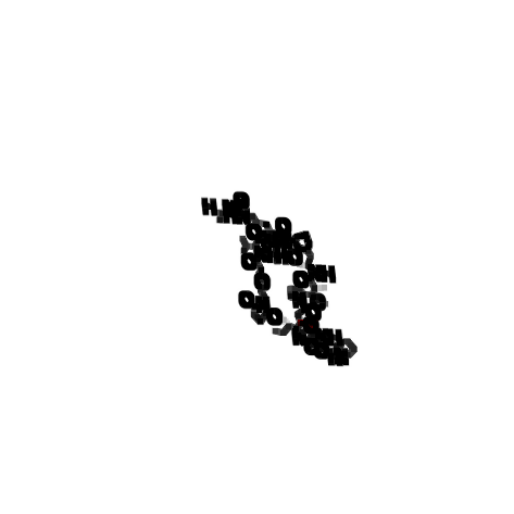 CC[C@H](C)C([C@@H](CC(=O)N1CCC[C@H]1[C@H](OC)[C@@H](C)C(=O)N[C@H](CO)Cc1cccc(NC(=O)[C@H](CCCNC(N)=O)NC(=O)C(NC(=O)CCOCCN2C(=O)C=CC2=O)C(C)C)c1)OC)N(C)C(=O)[C@@H](NC(=O)[C@@H]1C2CCC([C@H]2C)N1C)C(C)C